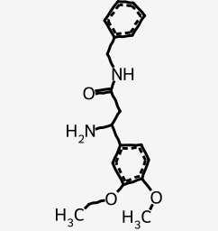 CCOc1cc(C(N)CC(=O)NCc2ccccc2)ccc1OC